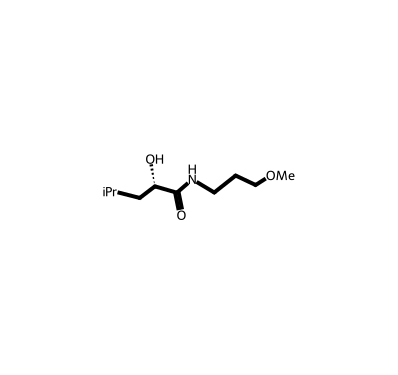 COCCCNC(=O)[C@@H](O)CC(C)C